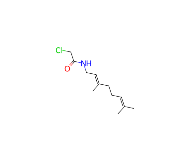 CC(C)=CCC/C(C)=C/CNC(=O)CCl